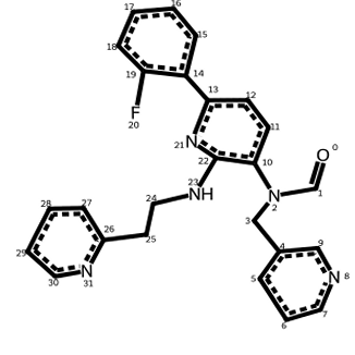 O=CN(Cc1cccnc1)c1ccc(-c2ccccc2F)nc1NCCc1ccccn1